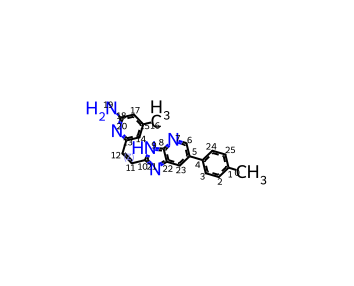 Cc1ccc(-c2cnc3[nH]c(/C=C\c4cc(C)cc(N)n4)nc3c2)cc1